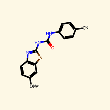 COc1ccc2nc(NC(=O)Nc3ccc(C#N)cc3)sc2c1